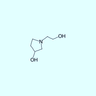 OCCN1CCC(O)C1